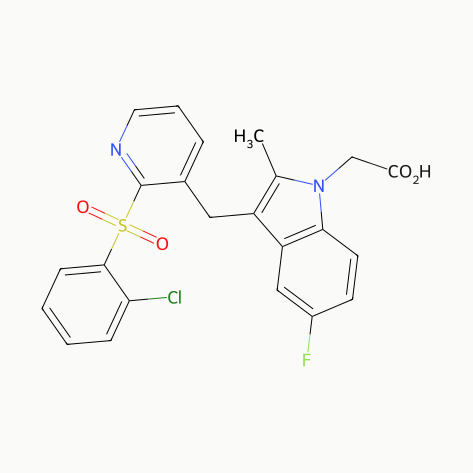 Cc1c(Cc2cccnc2S(=O)(=O)c2ccccc2Cl)c2cc(F)ccc2n1CC(=O)O